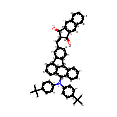 CC(C)(C)c1ccc(N(c2ccc(C(C)(C)C)cc2)c2c3ccccc3c3c4c(cccc24)-c2cc(C=C4C(=O)c5cc6ccccc6cc5C4=O)ccc2-3)cc1